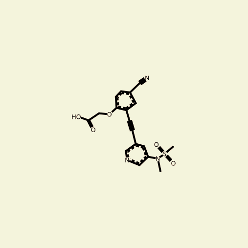 CN(c1cncc(C#Cc2cc(C#N)ccc2OCC(=O)O)c1)S(C)(=O)=O